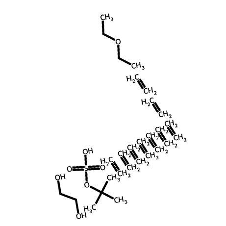 C=C.C=C.C=C.C=C.C=C.C=C.C=C.C=C.C=C.CC(C)(C)OS(=O)(=O)O.CCOCC.OCCO